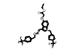 CCOC(=O)COc1ccc2c(c1)c(C=NOCc1ccc(C(F)(F)F)cc1)cn2Cc1ccc(C(F)(F)F)cc1